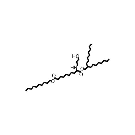 CCCCCCCCCCOC(=O)CCCCCCCC(NCCCO)C(=O)OCC(CCCCCCCC)CCCCCCCC